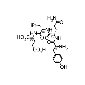 CC(C)C[C@H](NC(=O)[C@H](CCC(N)=O)NC(=O)[C@@H](N)Cc1ccc(O)cc1)C(=O)N[C@@H](CCC(=O)O)C(=O)O